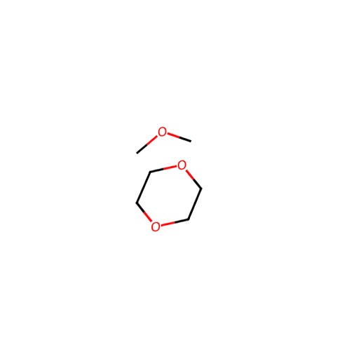 C1COCCO1.COC